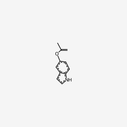 C=C(C)Oc1ccc2[nH]ccc2c1